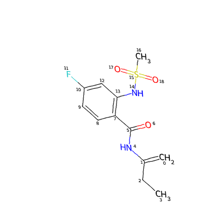 C=C(CC)NC(=O)c1ccc(F)cc1NS(C)(=O)=O